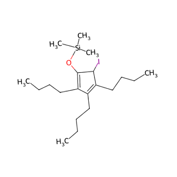 CCCCC1=C(CCCC)C(I)C(O[Si](C)(C)C)=C1CCCC